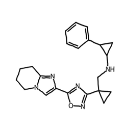 c1ccc(C2CC2NCC2(c3noc(-c4cn5c(n4)CCCC5)n3)CC2)cc1